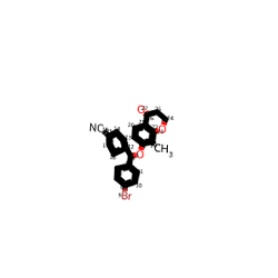 Cc1c(OC(c2ccc(Br)cc2)c2ccc(C#N)cc2)ccc2c1OCCC2=O